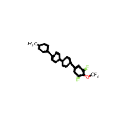 CC1CCC(C2CCC(C3CCC(C4CC(F)C(OC(F)(F)F)C(F)C4)CC3)CC2)CC1